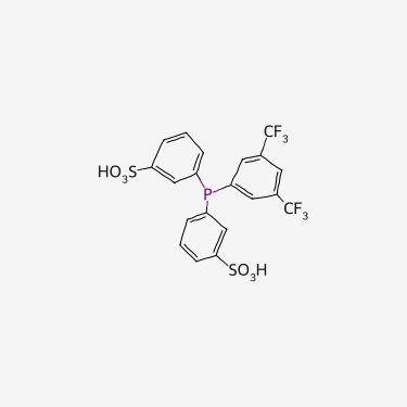 O=S(=O)(O)c1cccc(P(c2cc(C(F)(F)F)cc(C(F)(F)F)c2)c2cccc(S(=O)(=O)O)c2)c1